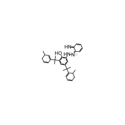 CC1C=C(C(C)(C)c2cc(C(C)(C)C3=CC=CCC3C)cc(N/N=C3/C=CC=CC3=N)c2O)C=CC1